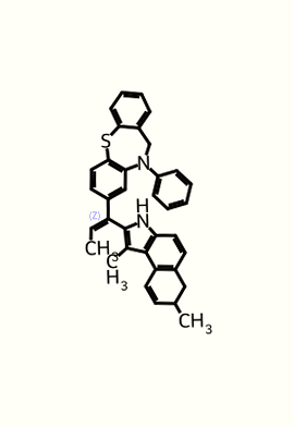 C/C=C(/c1ccc2c(c1)N(c1ccccc1)Cc1ccccc1S2)c1[nH]c2ccc3c(c2c1C)C=CC(C)C3